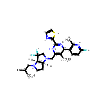 CCOC(=O)C1=C(CN2CC(F)(F)[C@H]3[C@@H]2CCN3CC(CC)C(=O)O)NC(c2nccs2)=NC1c1ccc(F)nc1C